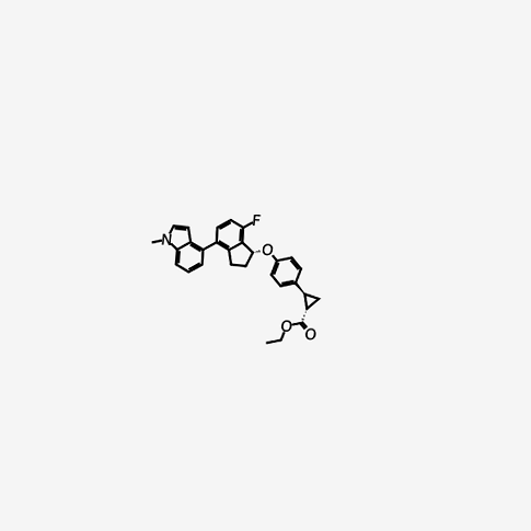 CCOC(=O)[C@H]1C[C@@H]1c1ccc(O[C@@H]2CCc3c(-c4cccc5c4ccn5C)ccc(F)c32)cc1